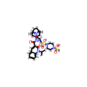 CC(C)n1c(=O)c(C(=O)N[C@@H]2C[C@H]3CC[C@@H](C2)N3CCCS(=O)(=O)N2CCN(S(C)(=O)=O)CC2)cc2ccccc21